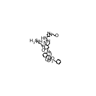 CNCCCn1c(=O)c(N2CCN(C(=O)OCc3ccccc3)c3c(C)cccc32)cc2cnc(Nc3cnn(CC=O)c3)nc21